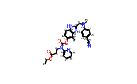 CCOC(=O)CCN(C(=O)Oc1ccc2[nH]c(CN(C)c3ccc(C#N)cc3)nc2c1C)c1ccccn1